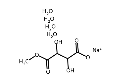 COC(=O)C(O)C(O)C(=O)[O-].O.O.O.O.[Na+]